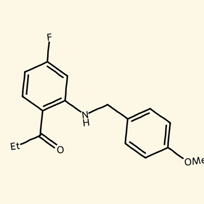 CCC(=O)c1ccc(F)cc1NCc1ccc(OC)cc1